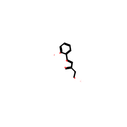 COc1ccccc1-c1cc(CCO)co1